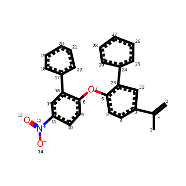 C=C(C)c1ccc(Oc2ccc([N+](=O)[O-])cc2-c2ccccc2)c(-c2ccccc2)c1